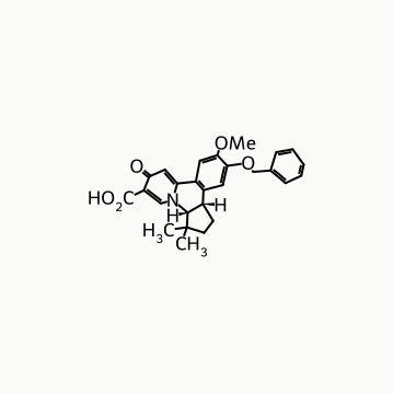 COc1cc2c(cc1OCc1ccccc1)[C@@H]1CCC(C)(C)[C@@H]1n1cc(C(=O)O)c(=O)cc1-2